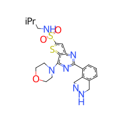 CC(C)CNS(=O)(=O)c1cc2nc(-c3cccc4c3C=NNC4)nc(N3CCOCC3)c2s1